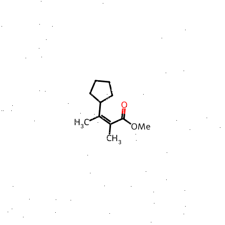 COC(=O)C(C)=C(C)C1CCCC1